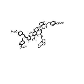 COc1ccc(CNc2nccnc2C(C)N2C=C(OC[C@@H]3CC[C@H]4COCCN43)Oc3c(F)c(-c4nc(N(Cc5ccc(OC)cc5)Cc5ccc(OC)cc5)cc(C)c4C(F)(F)F)c(Cl)c4c3=C2NCN=4)cc1